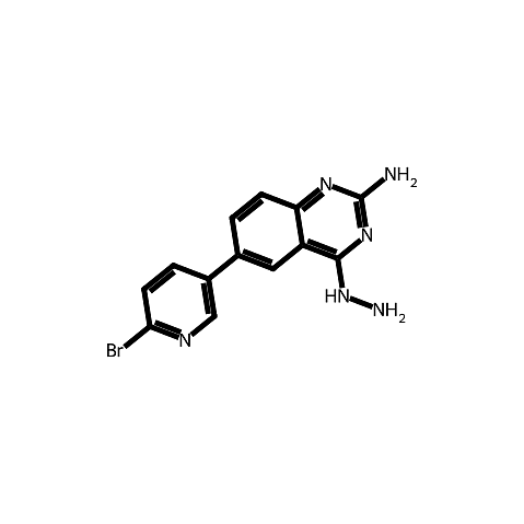 NNc1nc(N)nc2ccc(-c3ccc(Br)nc3)cc12